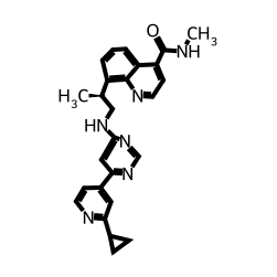 CNC(=O)c1ccnc2c([C@H](C)CNc3cc(-c4ccnc(C5CC5)c4)ncn3)cccc12